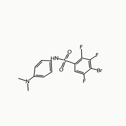 CN(C)c1ccc(NS(=O)(=O)c2cc(F)c(Br)c(F)c2F)cc1